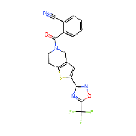 N#Cc1ccccc1C(=O)N1CCc2sc(-c3noc(C(F)(F)F)n3)cc2C1